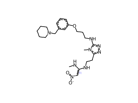 CN/C(=C\[N+](=O)[O-])NCCc1nnc(NCCCOc2cccc(CN3CCCCC3)c2)n1C